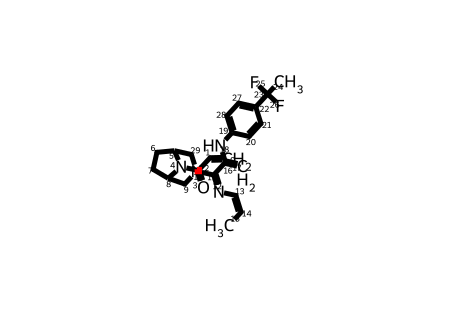 C=CC(=O)N1C2CCC1CN(/C(=N/C=C\C)C(=C)Nc1ccc(C(C)(F)F)cc1)C2